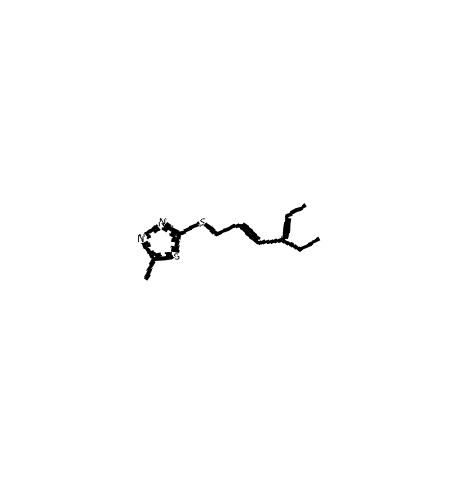 CC=C(C=CCSc1nnc(C)s1)CC